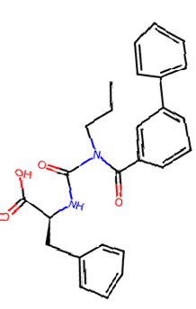 CCCN(C(=O)N[C@@H](Cc1ccccc1)C(=O)O)C(=O)c1cccc(-c2ccccc2)c1